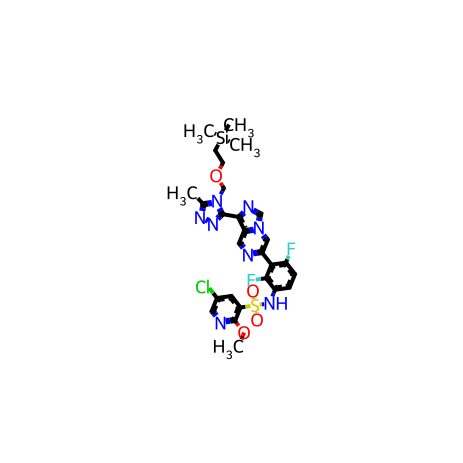 COc1ncc(Cl)cc1S(=O)(=O)Nc1ccc(F)c(-c2cn3cnc(-c4nnc(C)n4COCC[Si](C)(C)C)c3cn2)c1F